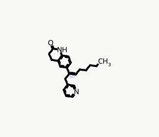 CCCCC/C=C(/Cc1cccnc1)c1ccc2c(c1)CCC(=O)N2